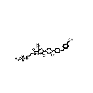 C#Cc1ccc(CN2CCC(N3CCN(c4nc(N)c(C(=O)NCCCNS(C)(=O)=O)nc4Cl)C[C@@H]3CC)CC2)cc1